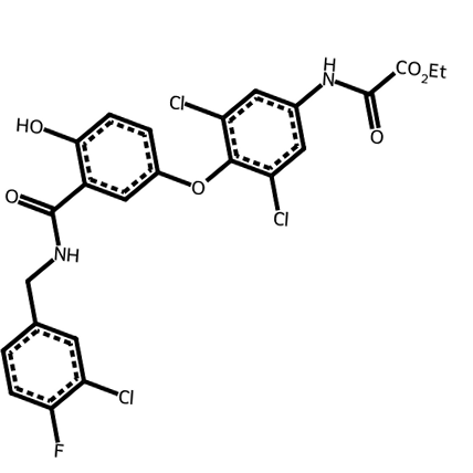 CCOC(=O)C(=O)Nc1cc(Cl)c(Oc2ccc(O)c(C(=O)NCc3ccc(F)c(Cl)c3)c2)c(Cl)c1